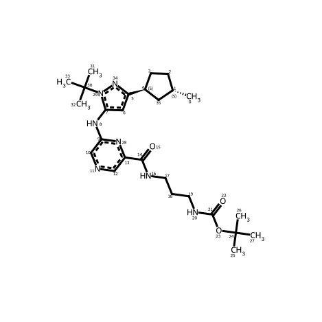 C[C@H]1CC[C@H](c2cc(Nc3cncc(C(=O)NCCCNC(=O)OC(C)(C)C)n3)n(C(C)(C)C)n2)C1